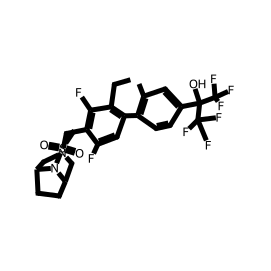 CCc1c(-c2ccc(C(O)(C(F)(F)F)C(F)(F)F)cc2C)cc(F)c(CN2CC3CCC(C2)N3S(C)(=O)=O)c1F